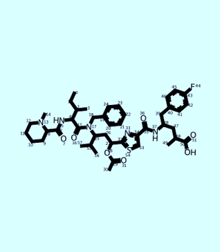 CCC(C)C(NC(=O)C1CCCCN1C)C(=O)N(Cc1ccccc1)C(CC(OC(C)=O)c1nc(C(=O)NC(Cc2ccc(F)cc2)CC(C)C(=O)O)cs1)C(C)C